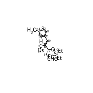 CC[Si](CC)(CC)O[C@H](CC=O)/C(C)=C/c1csc(C)n1.[Os]